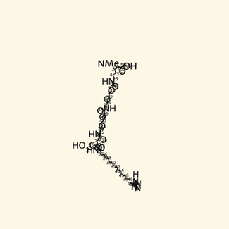 CN[C@@H](CCCCNC(=O)COCCOCCNC(=O)COCCOCCNC(=O)CC[C@H](NC(=O)CCCCCCCCCCCCCCCc1nnn[nH]1)C(=O)O)C(=O)CO